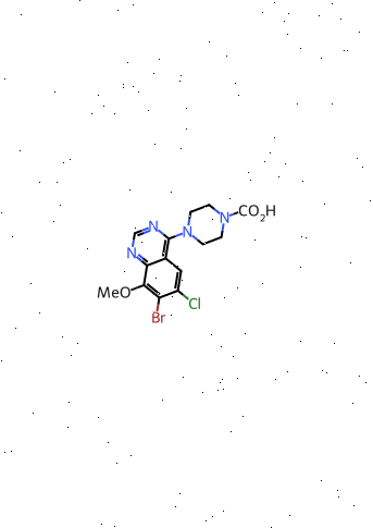 COc1c(Br)c(Cl)cc2c(N3CCN(C(=O)O)CC3)ncnc12